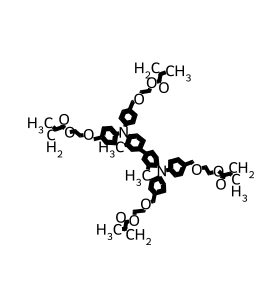 C=C(C)C(=O)OCCOCc1ccc(N(c2ccc(COCCOC(=O)C(=C)C)cc2)c2ccc(-c3ccc(N(c4ccc(COCCOC(=O)C(=C)C)cc4)c4ccc(COCCOC(=O)C(=C)C)cc4)c(C)c3)cc2C)cc1